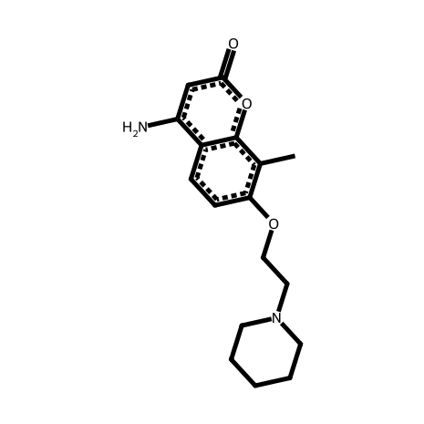 Cc1c(OCCN2CCCCC2)ccc2c(N)cc(=O)oc12